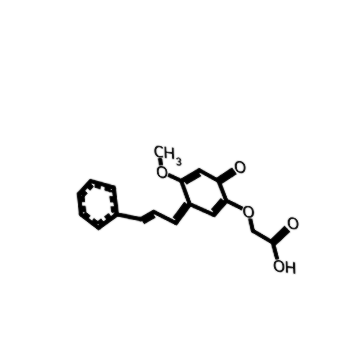 COC1=CC(=O)C(OCC(=O)O)=C/C1=C/C=C/c1ccccc1